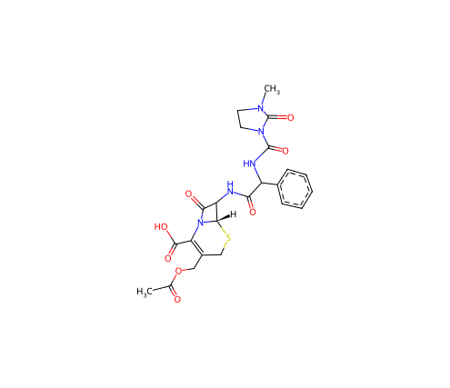 CC(=O)OCC1=C(C(=O)O)N2C(=O)C(NC(=O)C(NC(=O)N3CCN(C)C3=O)c3ccccc3)[C@@H]2SC1